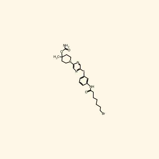 CC1(OC(N)=O)CCN(c2cnc(Sc3cccc(NC(=O)CCCCCCBr)c3)cn2)CC1